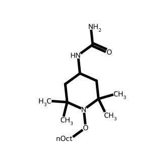 CCCCCCCCON1C(C)(C)CC(NC(N)=O)CC1(C)C